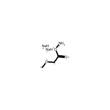 COCC(=O)ON.[NaH].[NaH]